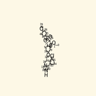 CCOC(=O)C(C)(Cc1ccc(OCCCN2CCNCC2c2cccc(Cl)c2)cc1)S(=O)(=O)c1ccc(OC)cc1